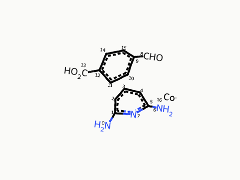 Nc1cccc(N)n1.O=Cc1ccc(C(=O)O)cc1.[Co]